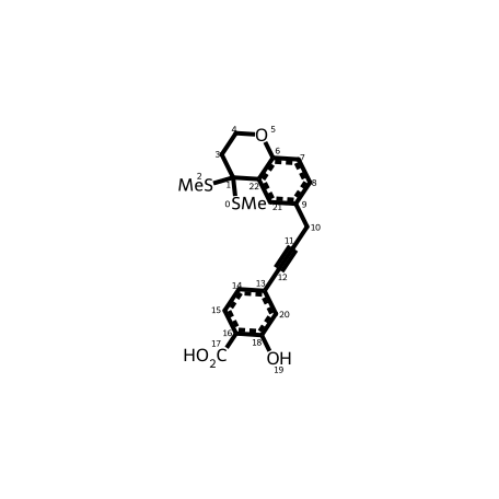 CSC1(SC)CCOc2ccc(CC#Cc3ccc(C(=O)O)c(O)c3)cc21